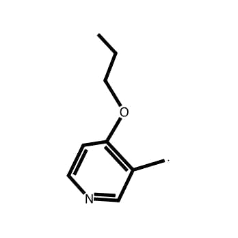 [CH2]c1cnccc1OCCC